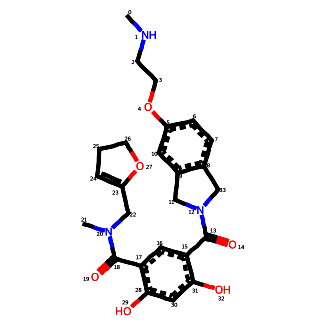 CNCCOc1ccc2c(c1)CN(C(=O)c1cc(C(=O)N(C)CC3=CCCO3)c(O)cc1O)C2